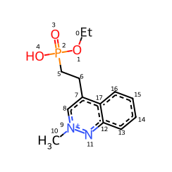 CCOP(=O)(O)CCc1c[n+](C)nc2ccccc12